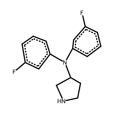 Fc1cccc(N(c2cccc(F)c2)C2CCNC2)c1